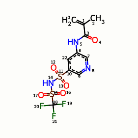 C=C(C)C(=O)Nc1cncc(S(=O)(=O)NS(=O)(=O)C(F)(F)F)c1